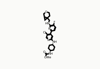 COC(=O)N[C@H]1CC[C@H](Nc2cc(-c3ccc(F)c(NCC45CCOCC4C5)n3)c(Cl)cn2)CC1